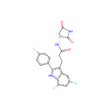 O=C1C[C@@H](NC(=O)CCc2c(-c3ccc(F)cc3)[nH]c3c(F)cc(F)cc23)C(=O)N1